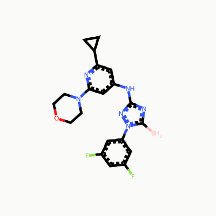 Bc1nc(Nc2cc(C3CC3)nc(N3CCOCC3)c2)nn1-c1cc(F)cc(F)c1